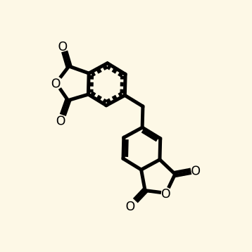 O=C1OC(=O)c2cc(CC3=CC4C(=O)OC(=O)C4C=C3)ccc21